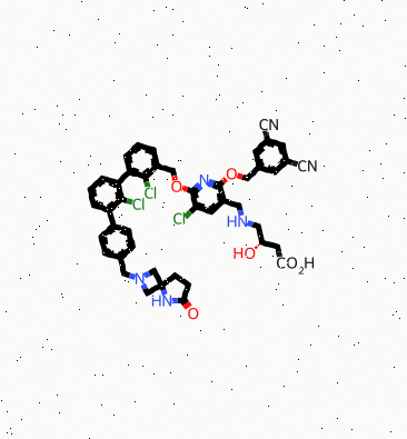 N#Cc1cc(C#N)cc(COc2nc(OCc3cccc(-c4cccc(-c5ccc(CN6CC7(CCC(=O)N7)C6)cc5)c4Cl)c3Cl)c(Cl)cc2CNC[C@@H](O)CC(=O)O)c1